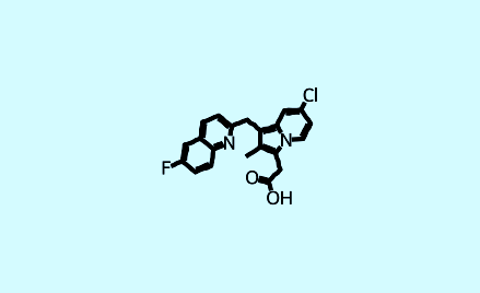 Cc1c(Cc2ccc3cc(F)ccc3n2)c2cc(Cl)ccn2c1CC(=O)O